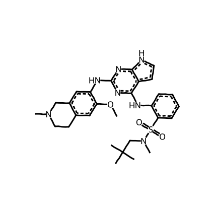 COc1cc2c(cc1Nc1nc(Nc3ccccc3S(=O)(=O)N(C)CC(C)(C)C)c3cc[nH]c3n1)CN(C)CC2